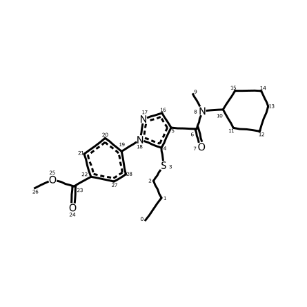 CCCSc1c(C(=O)N(C)C2CCCCC2)cnn1-c1ccc(C(=O)OC)cc1